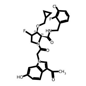 CC(=O)c1cn(CC(=O)N2CC(F)[C@@H](OCC3CC3)[C@H]2C(=O)NCc2cccc(Cl)c2F)c2cc(O)ccc12